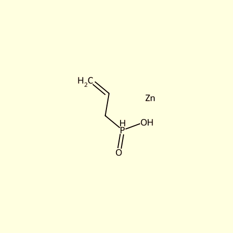 C=CC[PH](=O)O.[Zn]